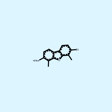 CCCCCCc1ccc2c(oc3c(C)c(CC)ccc32)c1C